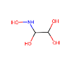 ONC(O)C(O)O